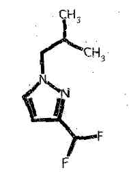 CC(C)Cn1ccc(C(F)F)n1